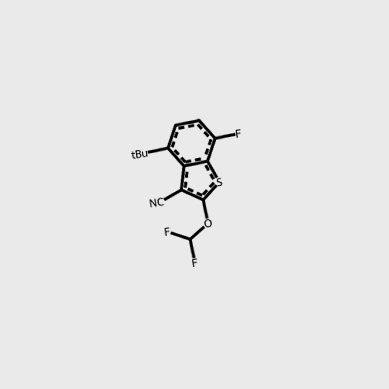 CC(C)(C)c1ccc(F)c2sc(OC(F)F)c(C#N)c12